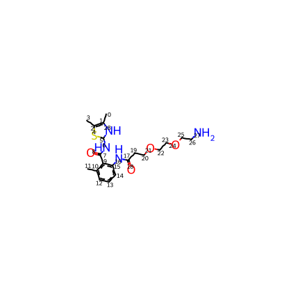 CC1=C(C)SC(NC(=O)c2c(C)cccc2NC(=O)CCOCCOCCN)N1